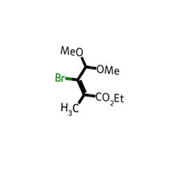 CCOC(=O)/C(C)=C(/Br)C(OC)OC